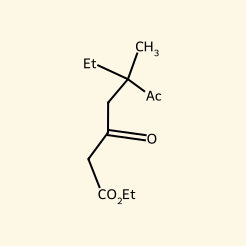 CCOC(=O)CC(=O)CC(C)(CC)C(C)=O